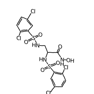 O=C(NO)C(CNS(=O)(=O)c1cc(Cl)ccc1Cl)NS(=O)(=O)c1cc(Cl)ccc1Cl